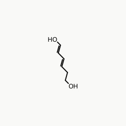 O/C=C/C=C/CCO